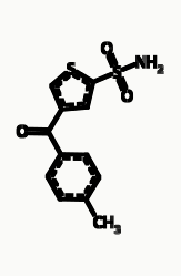 Cc1ccc(C(=O)c2csc(S(N)(=O)=O)c2)cc1